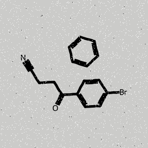 N#CCCC(=O)c1ccc(Br)cc1.c1ccccc1